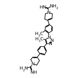 Cc1cc(C2=CCN(C(=N)N)CC2)ccc1-n1nnc(-c2ccc(C3=CCN(C(=N)N)CC3)cc2)c1C